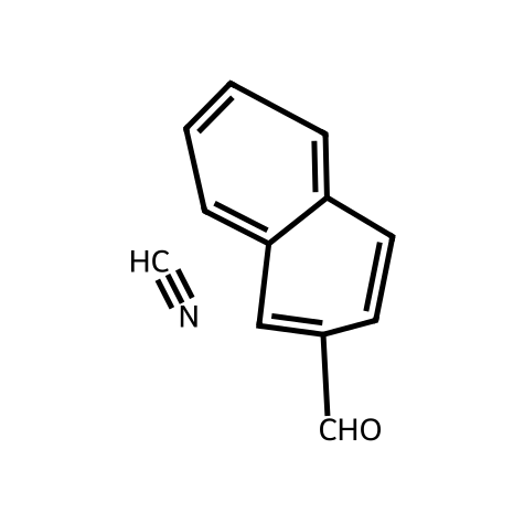 C#N.O=Cc1ccc2ccccc2c1